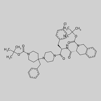 CC(C)(C)OC(=O)N1CCC(Cc2ccccc2)(N2CCN(C(=O)[C@@H](Cc3ccc(Cl)cc3)NC(=O)[C@H]3Cc4ccccc4CN3C(=O)OC(C)(C)C)CC2)CC1